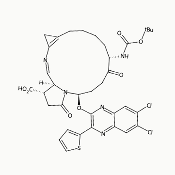 CC(C)(C)OC(=O)N[C@H]1CCCCC2=C(C2)/N=C\[C@@H]2[C@@H](C(=O)O)CC(=O)N2[C@H](Oc2nc3cc(Cl)c(Cl)cc3nc2-c2cccs2)CCC1=O